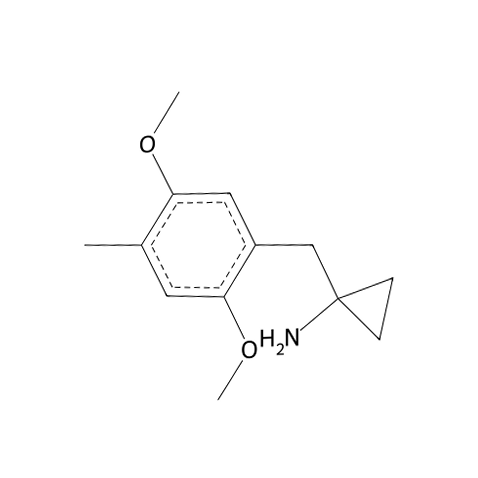 COc1cc(CC2(N)CC2)c(OC)cc1C